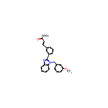 CNC(=O)/C=C/c1cccc(-c2nc3ccccc3n2Cc2cccc(OC(F)(F)F)c2)c1